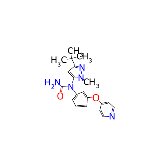 Cn1nc(C(C)(C)C)cc1N(C(N)=O)c1cccc(Oc2ccncc2)c1